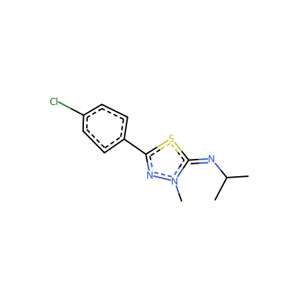 CC(C)N=c1sc(-c2ccc(Cl)cc2)nn1C